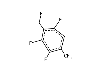 FCc1c(F)cc(C(F)(F)F)c(F)c1F